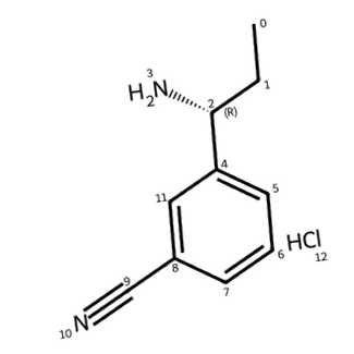 CC[C@@H](N)c1cccc(C#N)c1.Cl